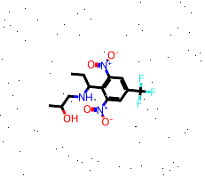 CCC(NCC(C)O)c1c([N+](=O)[O-])cc(C(F)(F)F)cc1[N+](=O)[O-]